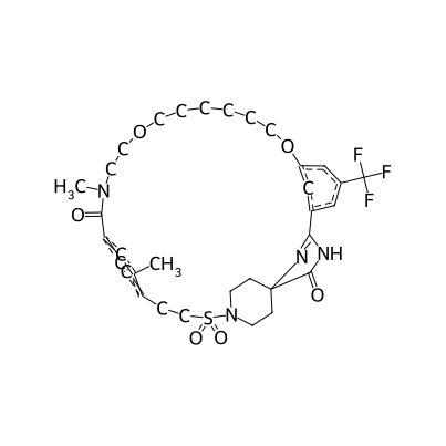 Cc1cc2ccc1CCS(=O)(=O)N1CCC3(CC1)N=C(NC3=O)c1cc(cc(C(F)(F)F)c1)OCCCCCCOCCN(C)C2=O